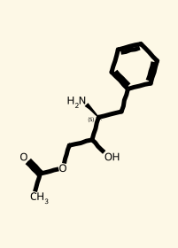 CC(=O)OCC(O)[C@@H](N)Cc1ccccc1